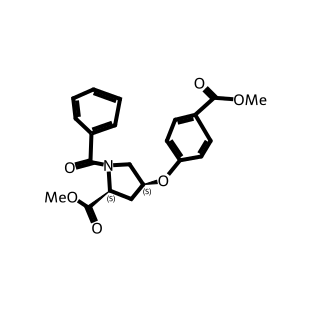 COC(=O)c1ccc(O[C@H]2C[C@@H](C(=O)OC)N(C(=O)c3ccccc3)C2)cc1